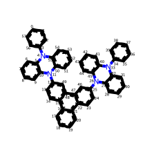 c1ccc(N2c3ccccc3N(c3ccc4c5ccccc5c5ccc(N6c7ccccc7N(c7ccccc7)c7ccccc76)cc5c4c3)c3ccccc32)cc1